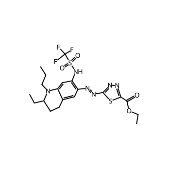 CCCN1c2cc(NS(=O)(=O)C(F)(F)F)c(N=Nc3nnc(C(=O)OCC)s3)cc2CCC1CC